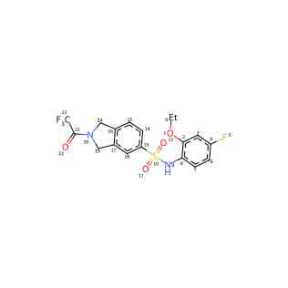 CCOc1cc(F)ccc1NS(=O)(=O)c1ccc2c(c1)CN(C(=O)C(F)(F)F)C2